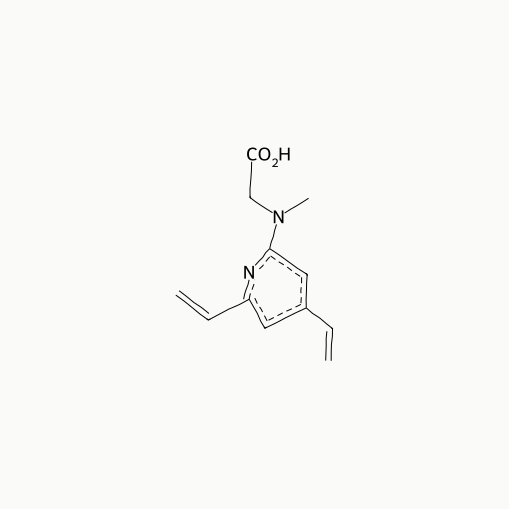 C=Cc1cc(C=C)nc(N(C)CC(=O)O)c1